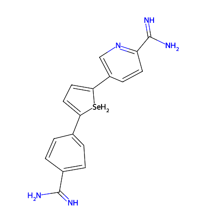 N=C(N)c1ccc(C2=CC=C(c3ccc(C(=N)N)nc3)[SeH2]2)cc1